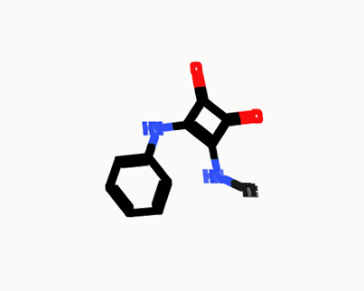 CCNc1c(Nc2ccccc2)c(=O)c1=O